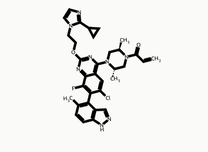 C=CC(=O)N1C[C@H](C)N(c2nc(OCCn3ccnc3C3CC3)nc3c(F)c(-c4c(C)ccc5[nH]ncc45)c(Cl)cc23)C[C@H]1C